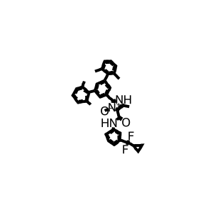 Cc1cccc(C)c1-c1cc(-c2c(C)cccc2C)cc(-c2[nH]c(C)c(C(=O)Nc3cccc(C(F)(F)C4CC4)c3)[n+]2[O-])c1